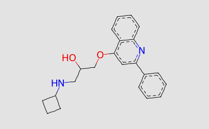 OC(CNC1CCC1)COc1cc(-c2ccccc2)nc2ccccc12